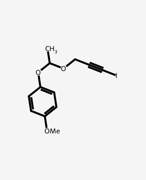 COc1ccc(OC(C)OCC#CI)cc1